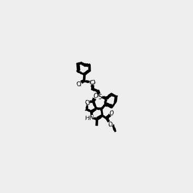 CCOC(=O)C1=C(C)NC2=C(C(=O)OC2)C1c1ccccc1SCCOC(=O)c1ccccc1